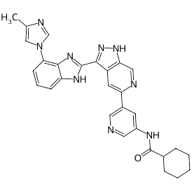 Cc1cn(-c2cccc3[nH]c(-c4n[nH]c5cnc(-c6cncc(NC(=O)C7CCCCC7)c6)cc45)nc23)cn1